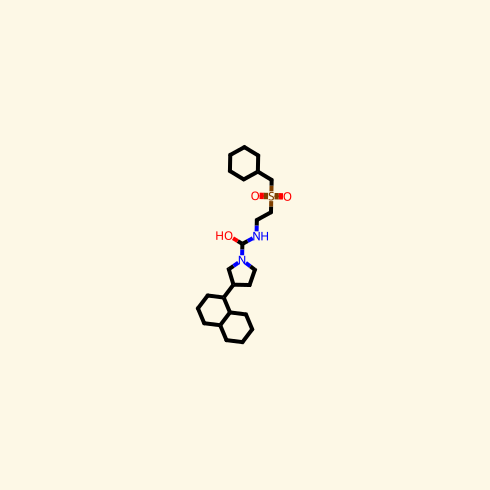 O=S(=O)(CCNC(O)N1CCC(C2CCCC3CCCCC32)C1)CC1CCCCC1